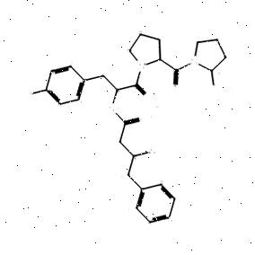 NC(CC(=O)NC(Cc1ccc(O)cc1)C(=O)N1CCCC1C(=O)N1CCCC1C(=O)O)Cc1ccccc1